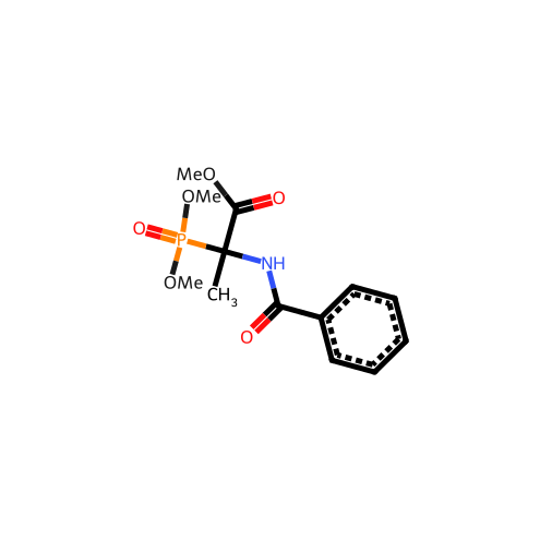 COC(=O)C(C)(NC(=O)c1ccccc1)P(=O)(OC)OC